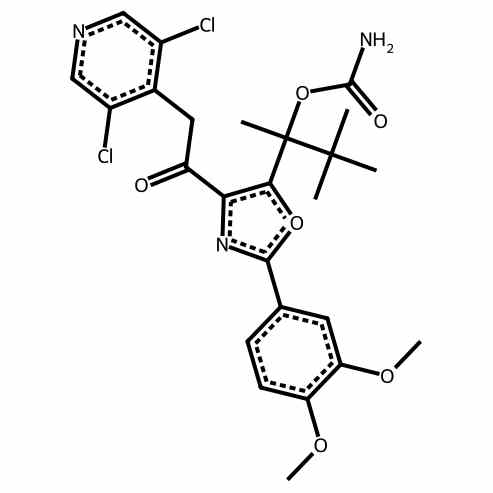 COc1ccc(-c2nc(C(=O)Cc3c(Cl)cncc3Cl)c(C(C)(OC(N)=O)C(C)(C)C)o2)cc1OC